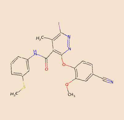 COc1cc(C#N)ccc1Oc1nnc(I)c(C)c1C(=O)Nc1cccc(SC)c1